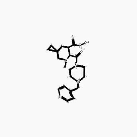 CN1CC2(CC2)CC(C(=O)NO)C1C(=O)N1CCN(Cc2ccncc2)CC1